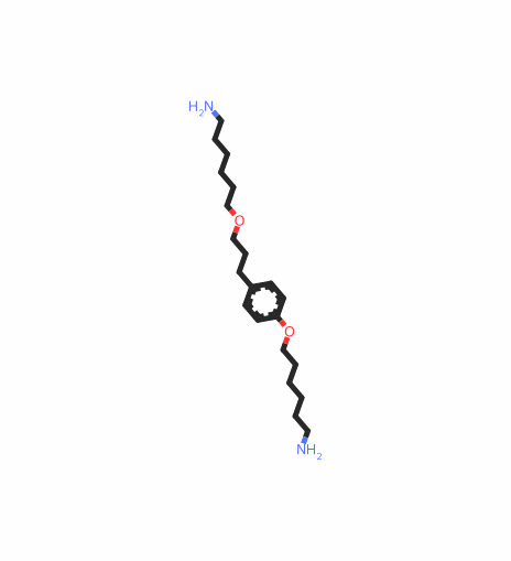 NCCCCCCOCCCc1ccc(OCCCCCCN)cc1